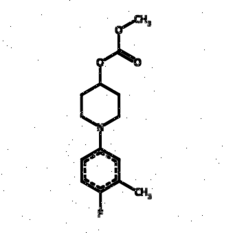 COC(=O)OC1CCN(c2ccc(F)c(C)c2)CC1